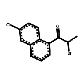 CC(Br)C(=O)c1cccc2cc(Cl)ccc12